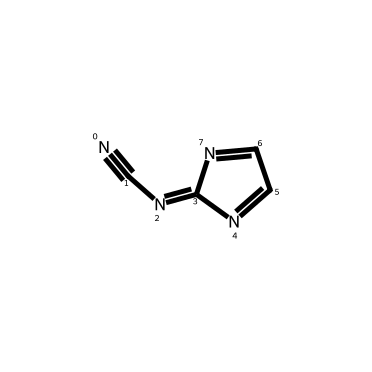 N#CN=C1N=CC=N1